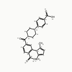 Cc1ccc(C)n1-c1cc(C(=O)N2CCN(c3ccc(C(=O)O)cc3)CC2)ccc1C(=O)O